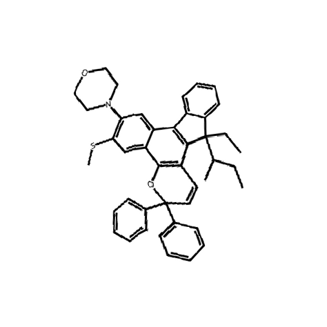 CCC(C)C1(CC)c2ccccc2-c2c1c1c(c3cc(SC)c(N4CCOCC4)cc23)OC(c2ccccc2)(c2ccccc2)C=C1